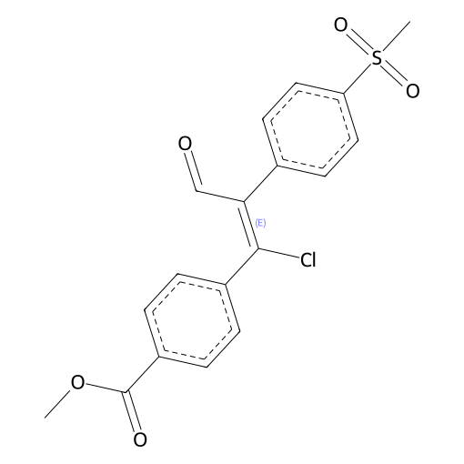 COC(=O)c1ccc(/C(Cl)=C(\C=O)c2ccc(S(C)(=O)=O)cc2)cc1